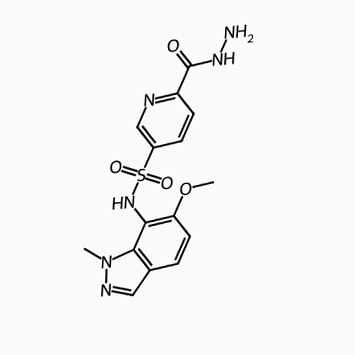 COc1ccc2cnn(C)c2c1NS(=O)(=O)c1ccc(C(=O)NN)nc1